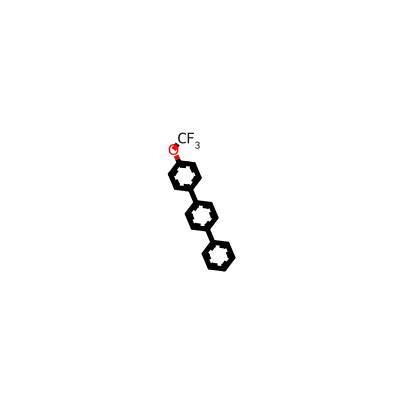 FC(F)(F)Oc1ccc(-c2ccc(-c3ccccc3)cc2)cc1